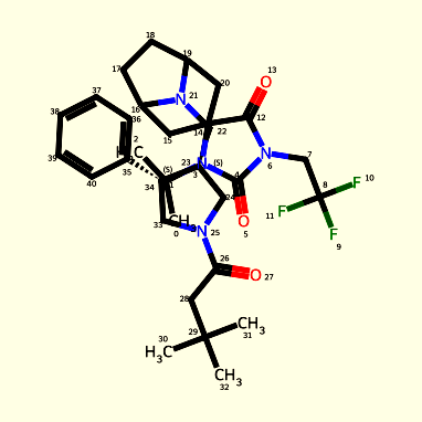 CC(C)N1C(=O)N(CC(F)(F)F)C(=O)C12CC1CCC(C2)N1C[C@H]1CN(C(=O)CC(C)(C)C)C[C@@H]1c1ccccc1